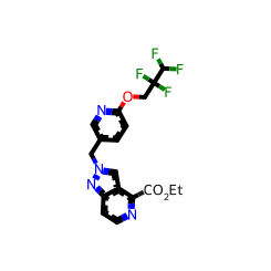 CCOC(=O)c1nccc2nn(Cc3ccc(OCC(F)(F)C(F)F)nc3)cc12